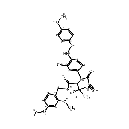 C#CC(=O)N(c1ccc(NSc2ccc(OC)cc2)c(Cl)c1)C(C(=O)NCc1ccc(OC)cc1OC)C(C)(C)C